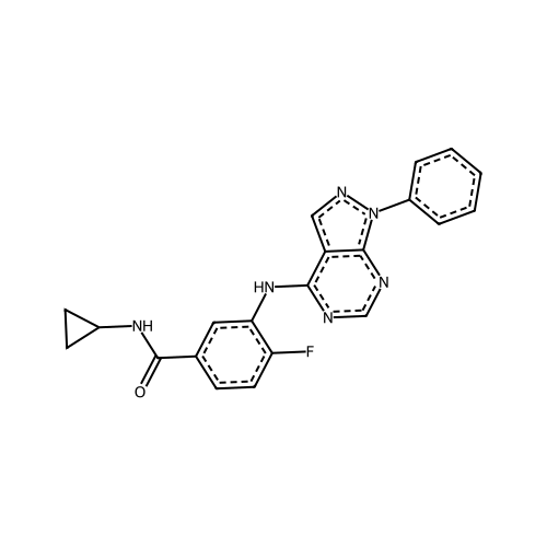 O=C(NC1CC1)c1ccc(F)c(Nc2ncnc3c2cnn3-c2ccccc2)c1